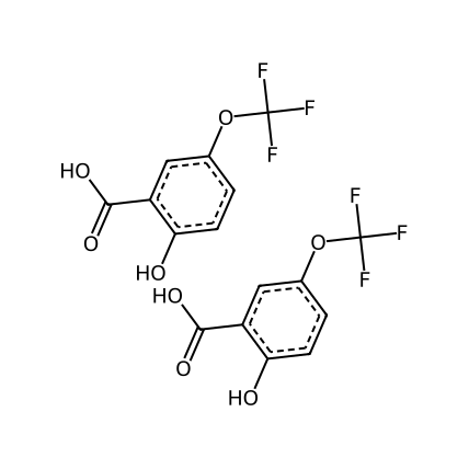 O=C(O)c1cc(OC(F)(F)F)ccc1O.O=C(O)c1cc(OC(F)(F)F)ccc1O